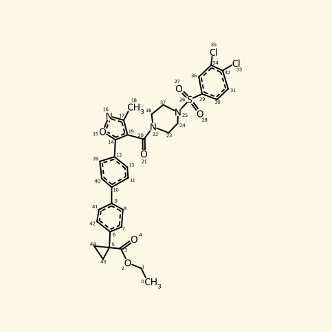 CCOC(=O)C1(c2ccc(-c3ccc(-c4onc(C)c4C(=O)N4CCN(S(=O)(=O)c5ccc(Cl)c(Cl)c5)CC4)cc3)cc2)CC1